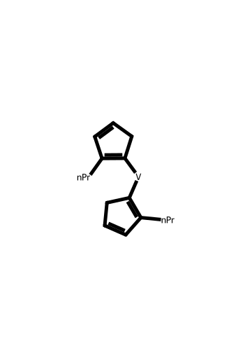 CCCC1=[C]([V][C]2=C(CCC)C=CC2)CC=C1